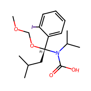 COCO[C@](CC(C)C)(c1ccccc1I)N(C(=O)O)C(C)C